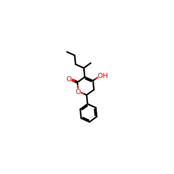 CCCC(C)C1=C(O)CC(c2ccccc2)OC1=O